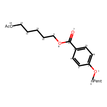 CCCCCOc1ccc(C(=O)OCCCCCOC(C)=O)cc1